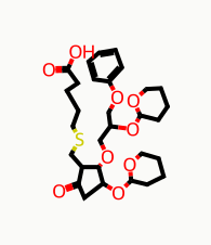 O=C(O)CCCCSCC1C(=O)CC(OC2CCCCO2)C1OCC(COc1ccccc1)OC1CCCCO1